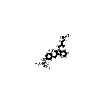 Cc1c(Cc2cccc(S(=O)(=O)N(C)C)c2)c2ncccc2n1C/C(F)=C/CNCl